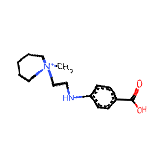 C[N+]1(CCNc2ccc(C(=O)O)cc2)CCCCC1